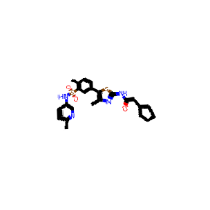 Cc1ccc(NS(=O)(=O)c2cc(-c3sc(NC(=O)CC4CCCC4)nc3C)ccc2C)cn1